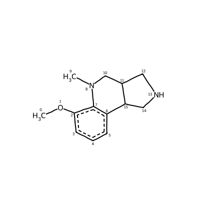 COc1cccc2c1N(C)CC1CNCC21